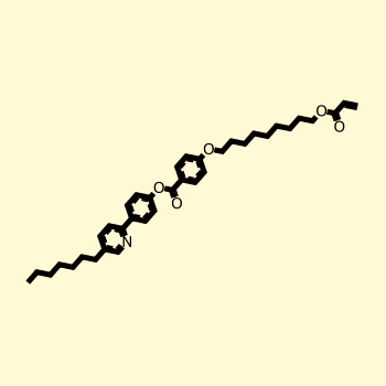 C=CC(=O)OCCCCCCCCCOc1ccc(C(=O)Oc2ccc(-c3ccc(CCCCCCC)cn3)cc2)cc1